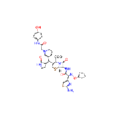 Nc1nc(C(=NOC2CCCC2)C(=O)N[C@@H]2C(=O)N3C(C(=O)[O-])=C(C(=C4CCNC4=O)c4ccc[n+](CC(=O)Nc5ccc(O)cc5)c4)CS[C@H]23)cs1